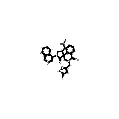 CCNCC1CN(c2cncc3ccccc23)C(=O)C12CN(Cc1cc(C)no1)C(=O)c1ccccc12